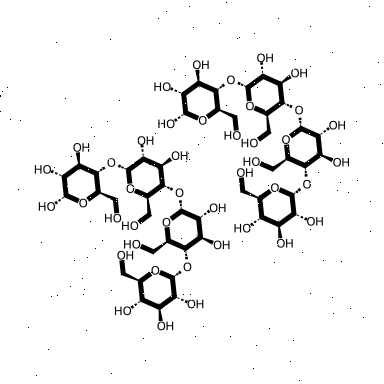 OC[C@H]1O[C@H](O[C@H]2[C@H](O)[C@@H](O)[C@@H](O[C@H]3[C@H](O)[C@@H](O)[C@@H](O[C@H]4[C@H](O)[C@@H](O)[C@@H](O)O[C@@H]4CO)O[C@@H]3CO)O[C@@H]2CO)[C@H](O)[C@@H](O)[C@@H]1O.OC[C@H]1O[C@H](O[C@H]2[C@H](O)[C@@H](O)[C@@H](O[C@H]3[C@H](O)[C@@H](O)[C@@H](O[C@H]4[C@H](O)[C@@H](O)[C@@H](O)O[C@@H]4CO)O[C@@H]3CO)O[C@@H]2CO)[C@H](O)[C@@H](O)[C@@H]1O